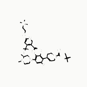 CC1CN(c2cc(F)c(C3=CCN(C(=O)OC(C)(C)C)CC3)c(F)c2NC(=O)c2cnc(OCC[Si](C)(C)C)cc2C(F)(F)F)CCN1C